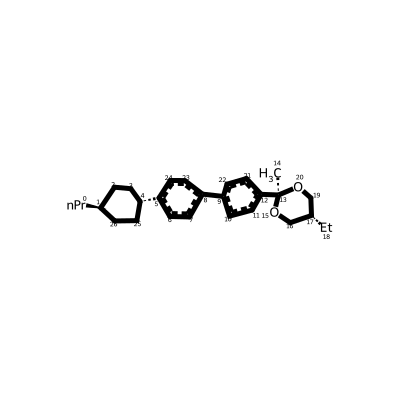 CCC[C@H]1CC[C@H](c2ccc(-c3ccc([C@]4(C)OC[C@@H](CC)CO4)cc3)cc2)CC1